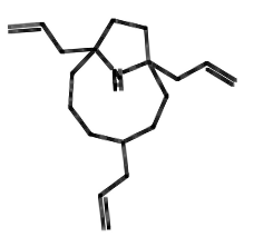 C=CCC1CCCC2(CC=C)CCC(CC=C)(CC1)N2